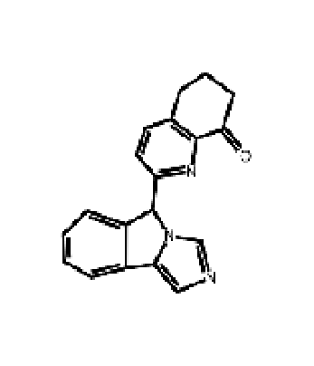 O=C1CCCc2ccc(C3c4ccccc4-c4cncn43)nc21